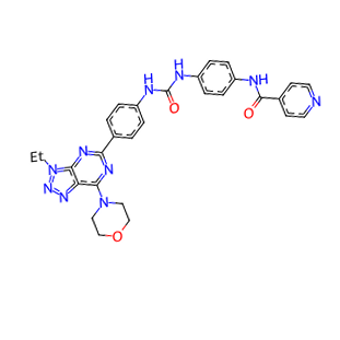 CCn1nnc2c(N3CCOCC3)nc(-c3ccc(NC(=O)Nc4ccc(NC(=O)c5ccncc5)cc4)cc3)nc21